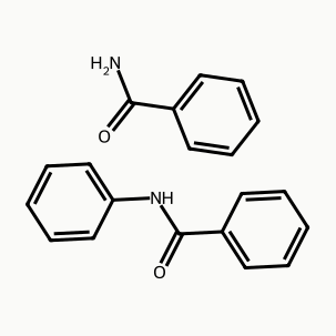 NC(=O)c1ccccc1.O=C(Nc1ccccc1)c1ccccc1